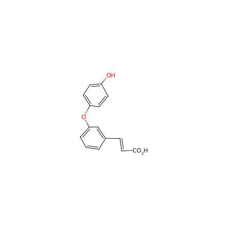 O=C(O)/C=C/c1cccc(Oc2ccc(O)cc2)c1